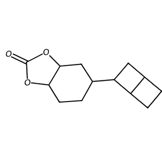 O=C1OC2CCC(C3CC4CCC43)CC2O1